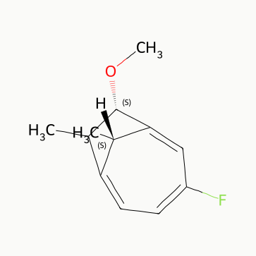 CO[C@@H]1C2=CC(F)=CC=C(C1C)[C@@H]2C